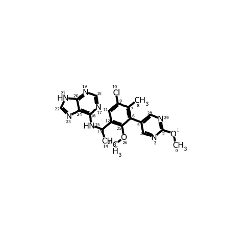 COc1ncc(-c2c(C)c(Cl)cc(C(C)Nc3ncnc4[nH]cnc34)c2OC)cn1